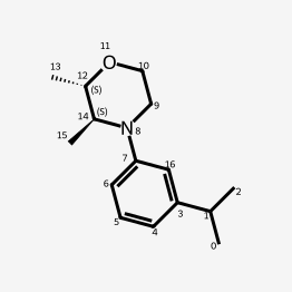 CC(C)c1cccc(N2CCO[C@@H](C)[C@@H]2C)c1